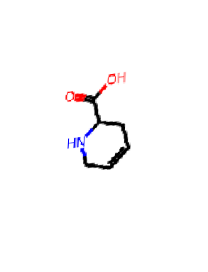 O=C(O)C1CC=CCN1